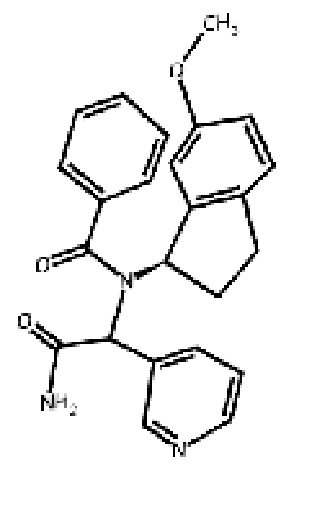 COc1ccc2c(c1)[C@H](N(C(=O)c1ccccc1)C(C(N)=O)c1cccnc1)CC2